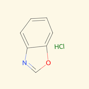 Cl.c1ccc2ocnc2c1